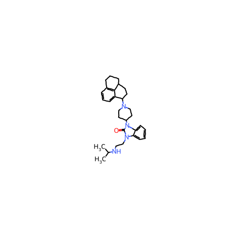 CC(C)NCCn1c(=O)n(C2CCN(C3CCC4CCCc5cccc3c54)CC2)c2ccccc21